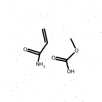 C=CC(N)=O.COC(=O)O